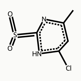 Cc1cc(Cl)[nH]c(=S(=O)=O)n1